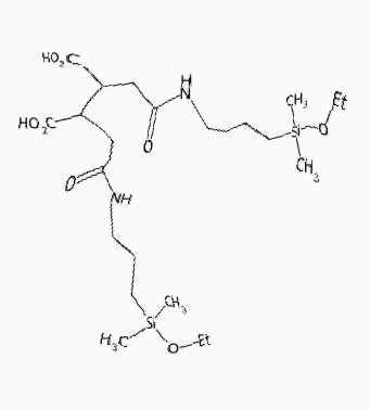 CCO[Si](C)(C)CCCNC(=O)CC(C(=O)O)C(CC(=O)NCCC[Si](C)(C)OCC)C(=O)O